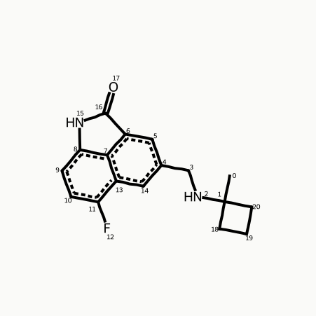 CC1(NCc2cc3c4c(ccc(F)c4c2)NC3=O)CCC1